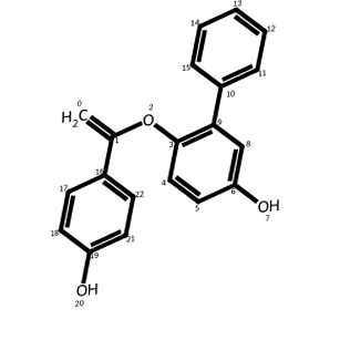 C=C(Oc1ccc(O)cc1-c1ccccc1)c1ccc(O)cc1